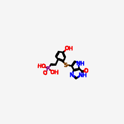 O=c1[nH]cnc2c(Sc3cc(O)ccc3C=CP(=O)(O)O)c[nH]c12